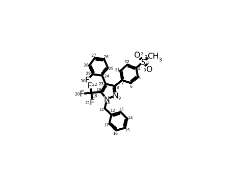 CS(=O)(=O)c1ccc(-c2nn(Cc3ccccc3)c(C(F)(F)F)c2-c2ccccc2F)cc1